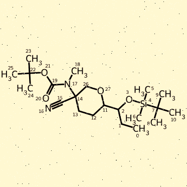 CCC(O[Si](C)(C)C(C)(C)C)C1CCC(C#N)(N(C)C(=O)OC(C)(C)C)CO1